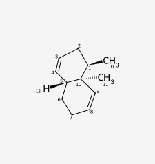 C[C@@H]1CC=C[C@H]2CC[C]=C[C@]12C